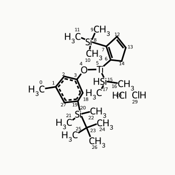 Cc1cc([O][Ti]([C]2=C([Si](C)(C)C)C=CC2)[SiH](C)C)cc([Si](C)(C)C(C)(C)C)c1.Cl.Cl